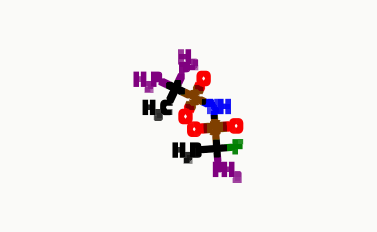 BC(F)(P)S(=O)(=O)NS(=O)(=O)C(C)(P)P